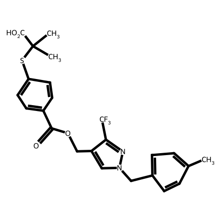 Cc1ccc(Cn2cc(COC(=O)c3ccc(SC(C)(C)C(=O)O)cc3)c(C(F)(F)F)n2)cc1